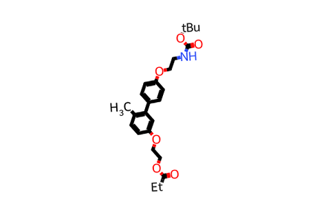 CCC(=O)OCCOc1ccc(C)c(-c2ccc(OCCNC(=O)OC(C)(C)C)cc2)c1